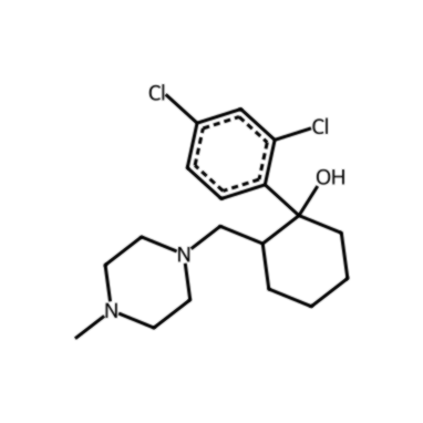 CN1CCN(CC2CCCCC2(O)c2ccc(Cl)cc2Cl)CC1